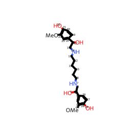 COc1cc(C(O)CNCCCCCCNCC(O)c2ccc(O)c(OC)c2)ccc1O